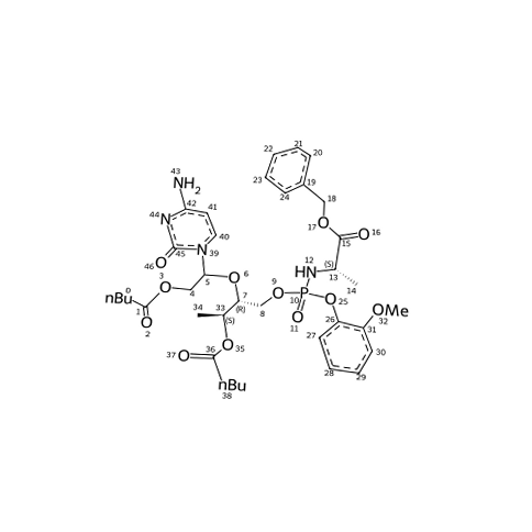 CCCCC(=O)OCC(O[C@H](COP(=O)(N[C@@H](C)C(=O)OCc1ccccc1)Oc1ccccc1OC)[C@H](C)OC(=O)CCCC)n1ccc(N)nc1=O